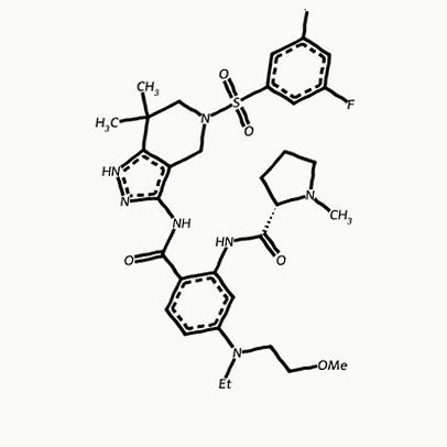 CCN(CCOC)c1ccc(C(=O)Nc2n[nH]c3c2CN(S(=O)(=O)c2cc(F)cc(F)c2)CC3(C)C)c(NC(=O)[C@@H]2CCCN2C)c1